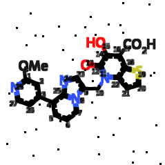 COc1cc(-c2cccn3c(Cn4c(=O)c(O)c(C(=O)O)c5sccc54)cnc23)ccn1